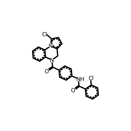 O=C(Nc1ccc(C(=O)N2Cc3ccc(Cl)n3-c3ccccc32)cc1)c1ccccc1Cl